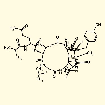 CC[C@H](C)[C@H]1C(=O)N(C)[C@@H](Cc2ccc(O)cc2)C(=O)N[C@@H]2C(=O)O[C@H](C)[C@H](NC(=O)[C@H](CCC(N)=O)NC(=O)C(C)C)C(=O)N[C@@H](CC(C)C)C(=O)N[C@@H]3C(=O)N1C=CC3C[C@@H]2C